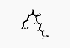 C=C(CC=CC(=O)O)C(=O)OCCCCCCCCCCCC